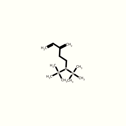 C=CC(=C)CCN([Si](C)(C)C)[Si](C)(C)C